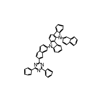 c1ccc(-c2nc(-c3ccccc3)nc(-c3ccc4ccc(-n5c6ccccc6c6c5ccc5c7ccccc7n(-c7ccc8ccccc8c7)c56)cc4c3)n2)cc1